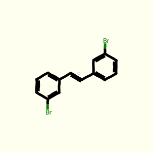 Brc1cccc(/C=C/c2cccc(Br)c2)c1